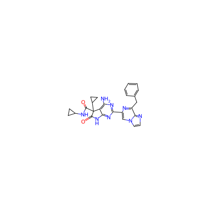 Nc1nc(-c2cn3ccnc3c(Cc3ccccc3)n2)nc2c1C(C(=O)NC1CC1)(C1CC1)C(=O)N2